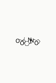 Cc1c(C=O)oc2c1-c1nn(C[C@H]3CCCO3)cc1CC2